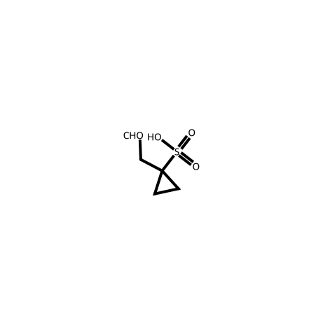 O=CCC1(S(=O)(=O)O)CC1